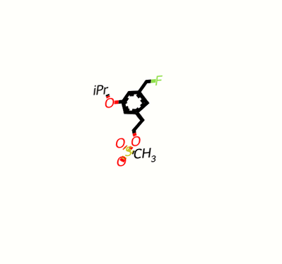 CC(C)Oc1cc(CF)cc(CCOS(C)(=O)=O)c1